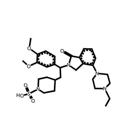 CCN1CCN(c2cccc3c2CN(C(CC2CCN(S(=O)(=O)O)CC2)c2ccc(OC)c(OC)c2)C3=O)CC1